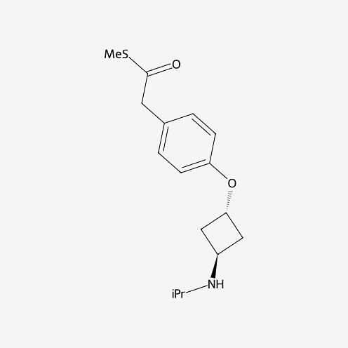 CSC(=O)Cc1ccc(O[C@H]2C[C@H](NC(C)C)C2)cc1